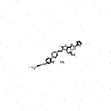 Cl.Nc1nc2c(sc(=O)n2CCN2CCN(c3ccc(OCCCC(=O)O)cc3F)CC2)c2nc(-c3ccco3)nn12